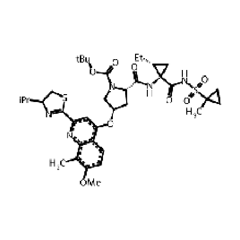 CC[C@@H]1C[C@]1(NC(=O)[C@@H]1C[C@@H](Oc2cc(C3=NC(C(C)C)CS3)nc3c(C)c(OC)ccc23)CN1C(=O)OC(C)(C)C)C(=O)NS(=O)(=O)C1(C)CC1